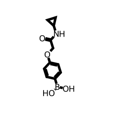 O=C(COc1ccc(B(O)O)cc1)NC1CC1